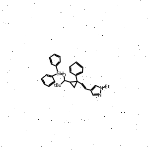 CCn1cc(/C=C/C2(c3ccccc3)CC2C(O[SiH](c2ccccc2)c2ccccc2)C(C)(C)C)cn1